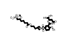 CCCC(=N)c1cc(=O)[nH]c(-c2cc(S(=O)(=O)N3CC(CCCOC(=O)CCCCC(CO[N+](=O)[O-])O[N+](=O)[O-])C3)ccc2OCC)n1